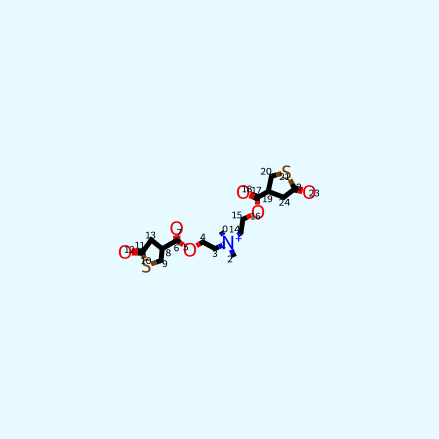 C[N+](C)(CCOC(=O)C1CSC(=O)C1)CCOC(=O)C1CSC(=O)C1